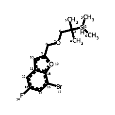 C[SiH](C)C(C)(C)COCc1cc2cc(F)cc(Br)c2o1